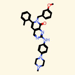 COc1cccc(Cn2c(-c3ccccc3C)cc3cnc(Nc4ccc(N5CCN(C)CC5)cc4)nc3c2=O)c1